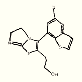 OCCC1=C(c2cc(Cl)cc3ccsc23)N2CCN=C2S1